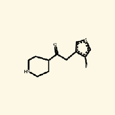 O=C(Cc1cscc1F)C1[CH]CNCC1